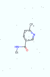 CCNC(=O)c1ccc(C(F)(F)F)nc1